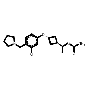 CC(OC(N)=O)[C@H]1C[C@H](Oc2ccc(CN3CCCC3)c(Cl)c2)C1